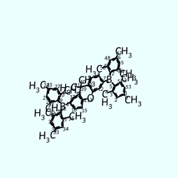 Cc1cc(C)c(B(c2ccc3c(c2)Oc2ccc(B(c4c(C)cc(C)cc4C)c4c(C)cc(C)cc4C)cc2C3(C)C)c2c(C)cc(C)cc2C)c(C)c1